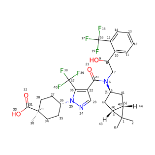 CC1(C)[C@@H]2C[C@@H](N(CC(O)c3ccccc3C(F)(F)F)C(=O)c3cnn([C@H]4CC[C@](C)(C(=O)O)CC4)c3C(F)(F)F)C[C@@H]21